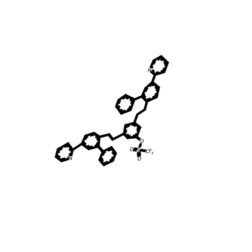 O=S(=O)(Oc1cc(CCc2ccc(-c3ccccn3)cc2-c2ccccc2)cc(CCc2ccc(-c3ccccn3)cc2-c2ccccc2)c1)C(F)(F)F